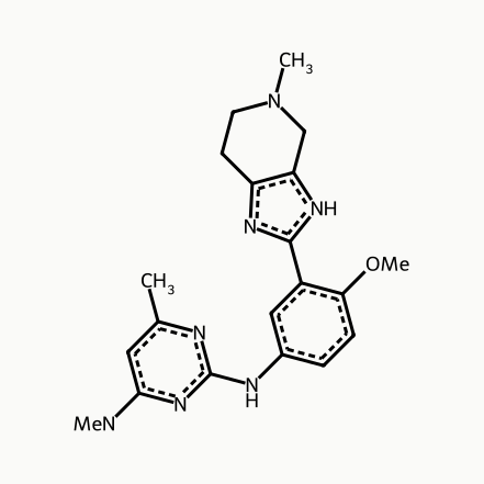 CNc1cc(C)nc(Nc2ccc(OC)c(-c3nc4c([nH]3)CN(C)CC4)c2)n1